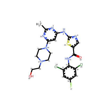 Cc1nc(Nc2ncc(C(=O)Nc3c(Cl)cc(F)cc3Cl)s2)cc(N2CCN(CCO)CC2)n1